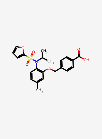 Cc1ccc(N(C(C)C)S(=O)(=O)c2ccco2)c(OCc2ccc(C(=O)O)cc2)c1